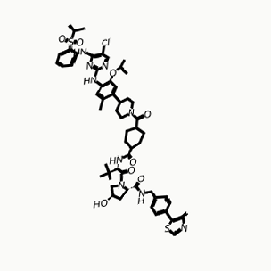 Cc1cc(Nc2ncc(Cl)c(Nc3ccccc3S(=O)(=O)C(C)C)n2)c(OC(C)C)cc1C1CCN(C(=O)C2CCC(C(=O)N[C@H](C(=O)N3C[C@H](O)C[C@H]3C(=O)NCc3ccc(-c4scnc4C)cc3)C(C)(C)C)CC2)CC1